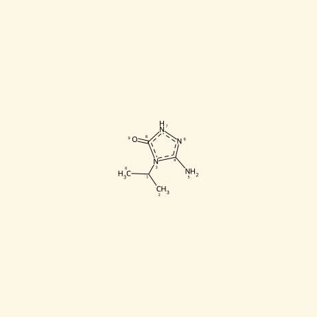 CC(C)n1c(N)n[nH]c1=O